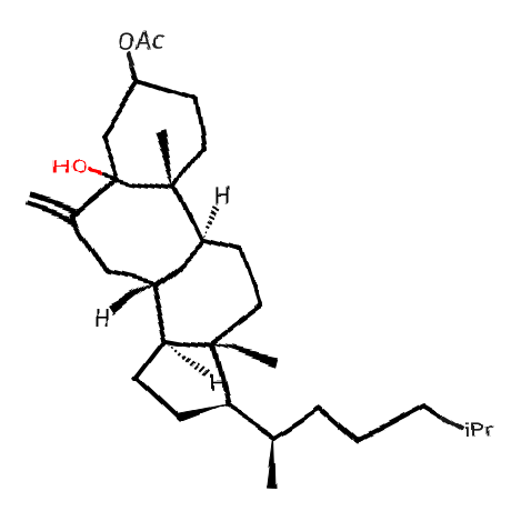 C=C1C[C@H]2[C@@H]3CC[C@H]([C@H](C)CCCC(C)C)[C@@]3(C)CC[C@@H]2[C@@]2(C)CCC(OC(C)=O)CC12O